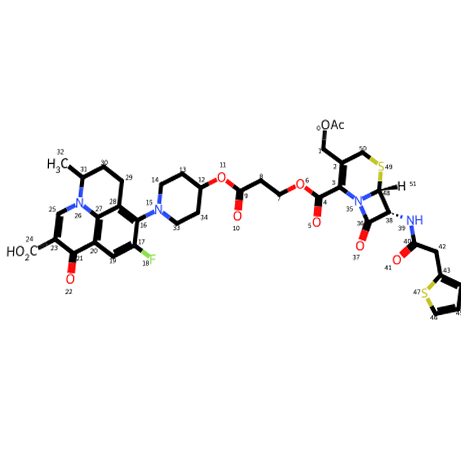 CC(=O)OCC1=C(C(=O)OCCC(=O)OC2CCN(c3c(F)cc4c(=O)c(C(=O)O)cn5c4c3CCC5C)CC2)N2C(=O)[C@@H](NC(=O)Cc3cccs3)[C@H]2SC1